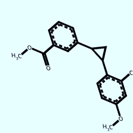 COC(=O)c1cccc(C2CC2c2ccc(OC)cc2Cl)c1